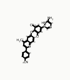 Cc1cc(-c2ccc(C#N)cc2)nc2ccc(Oc3c(Cl)cc(N4C=NC=C(N)N4)cc3Cl)cc12